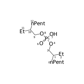 CCCCCC(CC)COP(=O)(O)OCC(CC)CCCCC